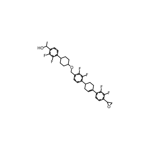 CC(O)c1ccc(C2CCC(OCc3ccc(C4CC=C(c5ccc(C6CO6)c(F)c5F)CC4)c(F)c3F)CC2)c(F)c1F